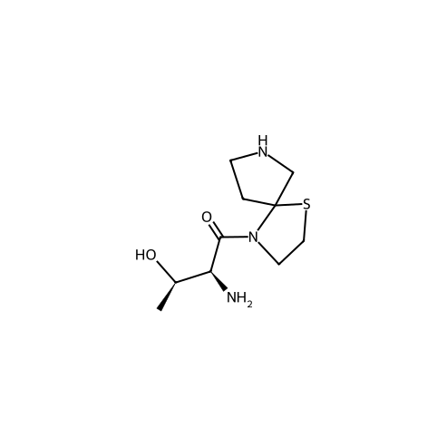 C[C@@H](O)[C@H](N)C(=O)N1CCSC12CCNC2